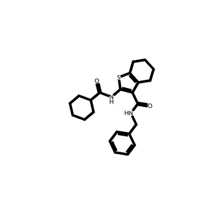 O=C(NCc1ccccc1)c1c(NC(=O)C2CCCCC2)sc2c1CCCC2